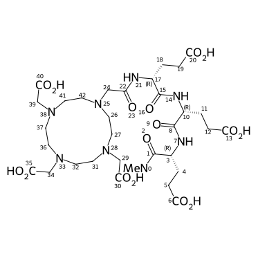 CNC(=O)[C@@H](CCC(=O)O)NC(=O)[C@@H](CCC(=O)O)NC(=O)[C@@H](CCC(=O)O)NC(=O)CN1CCN(CC(=O)O)CCN(CC(=O)O)CCN(CC(=O)O)CC1